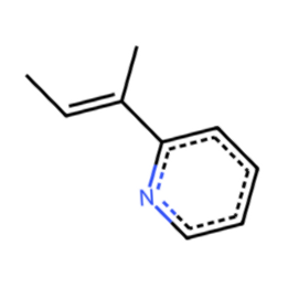 CC=C(C)c1ccccn1